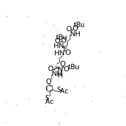 CC(=O)SCc1ccc(OCCNC(=O)[C@H](CCCCNC(=O)[C@H](CCCCNC(=O)OC(C)(C)C)NC(=O)OC(C)(C)C)NC(=O)OC(C)(C)C)cc1CSC(C)=O